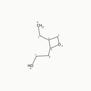 CCC1COC1CCO